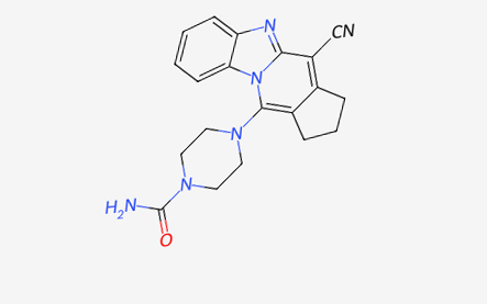 N#Cc1c2c(c(N3CCN(C(N)=O)CC3)n3c1nc1ccccc13)CCC2